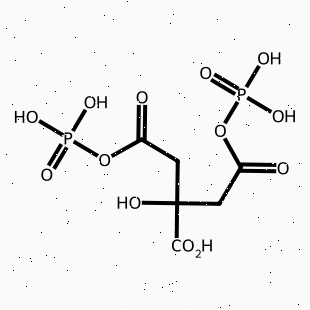 O=C(CC(O)(CC(=O)OP(=O)(O)O)C(=O)O)OP(=O)(O)O